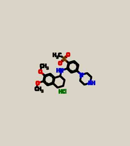 COc1cc2c(cc1OC)C(Nc1cc(N3CCNCC3)ccc1S(C)(=O)=O)CCC2.Cl